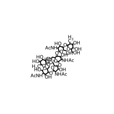 CC(=O)NC1C(O)[C@H](O[C@@H]2OC(CO)[C@@H](O)[C@H](O)C2C)C(CO)O[C@H]1O[C@@H]1C(CO)O[C@@H](O[C@@H]2C(CO)O[C@@H](O[C@@H]3C(CO[C@@H]4O[C@@H](C)[C@@H](O)C(O)C4C)OC(O)C(NC(C)=O)[C@H]3O)C(NC(C)=O)C2O)C(NC(C)=O)[C@H]1O